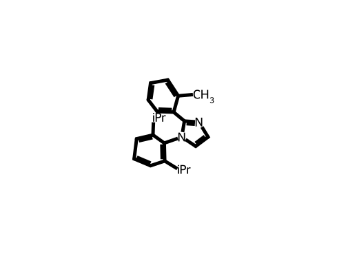 Cc1ccccc1-c1nccn1-c1c(C(C)C)cccc1C(C)C